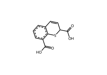 O=C(O)c1cccc2c1SC(C(=O)O)C=C2